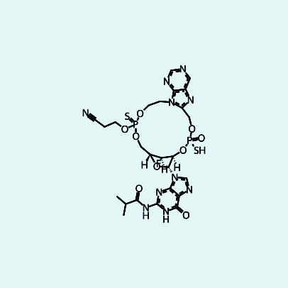 CC(C)C(=O)Nc1nc2c(ncn2[C@@H]2O[C@@H]3COP(=S)(OCCC#N)OCCn4c(nc5cncnc54)COP(=O)(S)O[C@@H]2[C@H]3F)c(=O)[nH]1